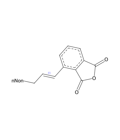 CCCCCCCCCC/C=C/c1cccc2c1C(=O)OC2=O